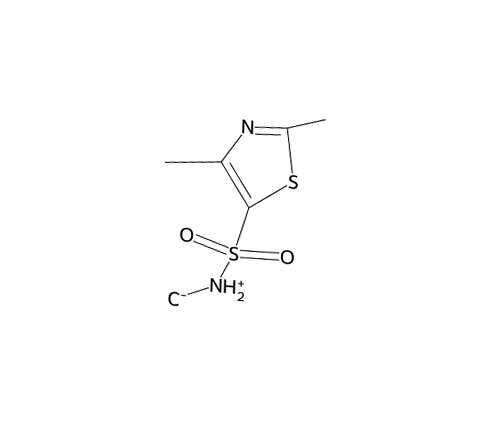 [CH2-][NH2+]S(=O)(=O)c1sc(C)nc1C